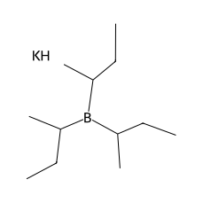 CCC(C)B(C(C)CC)C(C)CC.[KH]